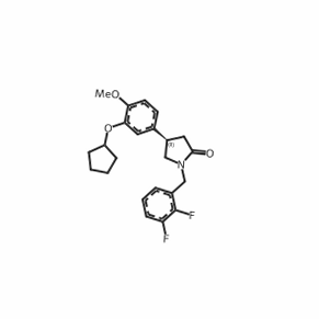 COc1ccc([C@H]2CC(=O)N(Cc3cccc(F)c3F)C2)cc1OC1CCCC1